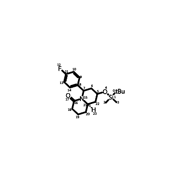 CC(C)(C)[Si](C)(C)OC1CC(c2ccc(F)cc2)N2C(=O)CCC[C@@H]2C1